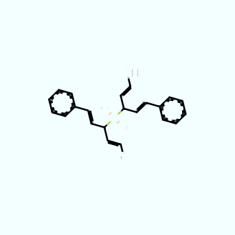 C/C=C/C(/C=C/c1ccccc1)S(=O)(=O)C(/C=C/C)/C=C/c1ccccc1